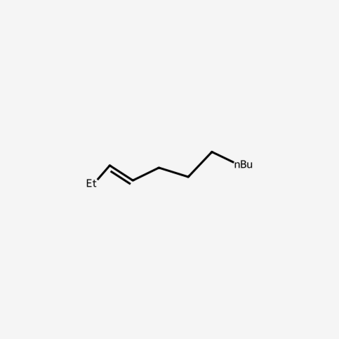 [CH2]C/C=C/CCCCCCC